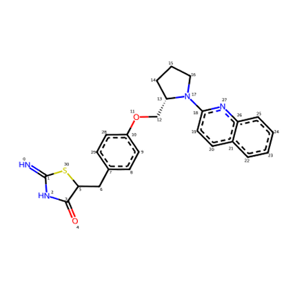 N=C1NC(=O)C(Cc2ccc(OC[C@@H]3CCCN3c3ccc4ccccc4n3)cc2)S1